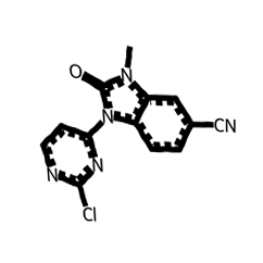 Cn1c(=O)n(-c2ccnc(Cl)n2)c2ccc(C#N)cc21